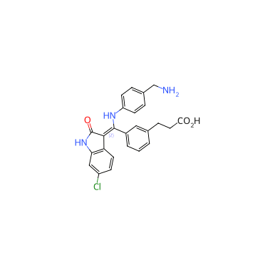 NCc1ccc(N/C(=C2\C(=O)Nc3cc(Cl)ccc32)c2cccc(CCC(=O)O)c2)cc1